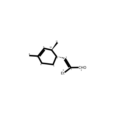 CC/C(C=O)=C\[C@@H]1CCC(C)=C[C@H]1C